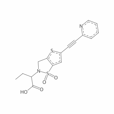 CCC(C(=O)O)N1Cc2sc(C#Cc3ccccn3)cc2S1(=O)=O